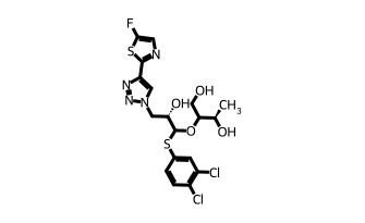 C[C@@H](O)C(CO)OC(Sc1ccc(Cl)c(Cl)c1)[C@@H](O)Cn1cc(-c2ncc(F)s2)nn1